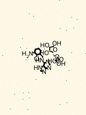 Nc1cccc(CNc2ncnc3nc[nH]c23)c1Cl.O=P(O)(O)OC[C@H]1OC(O)[C@H](O)[C@@H]1O